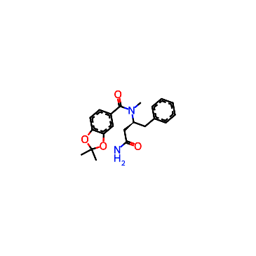 CN(C(=O)c1ccc2c(c1)OC(C)(C)O2)[C@H](CC(N)=O)Cc1ccccc1